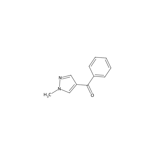 Cn1cc(C(=O)c2ccccc2)cn1